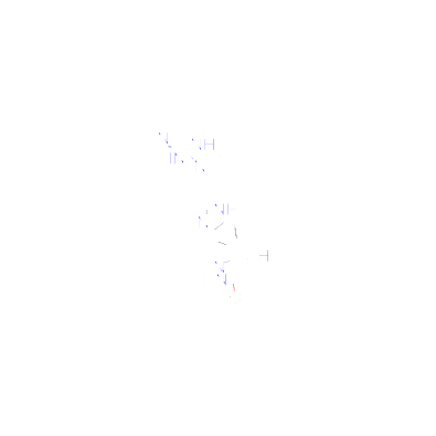 CC1CC(=O)NN=C1c1ccc2[nH]c(CCCN=C(N)NC#N)nc2c1